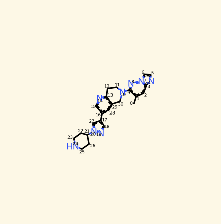 Cc1cc2nccn2nc1N1CCc2ncc(-c3cnn(C4CCNCC4)c3)cc2C1